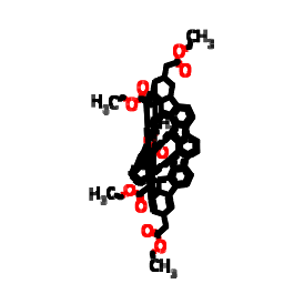 CCOC(=O)CC1C=C2c3ccc4c5ccc6c7ccc8c9c%10c%11c%12c%13c%14c(c3c4c%13c5c6c%12c97)C2(CC(=O)OCC)C2=C1C1C(=C2[C@@]%14%11CC(=O)OCC)C%10(CC(=O)OCC)C8CC1CC(=O)OCC